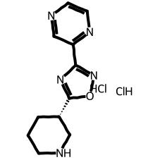 Cl.Cl.c1cnc(-c2noc([C@H]3CCCNC3)n2)cn1